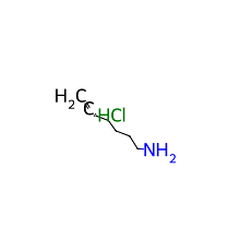 C=C=CCCCCN.Cl